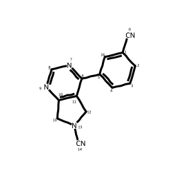 N#Cc1cccc(-c2n[c]nc3c2CN(C#N)C3)c1